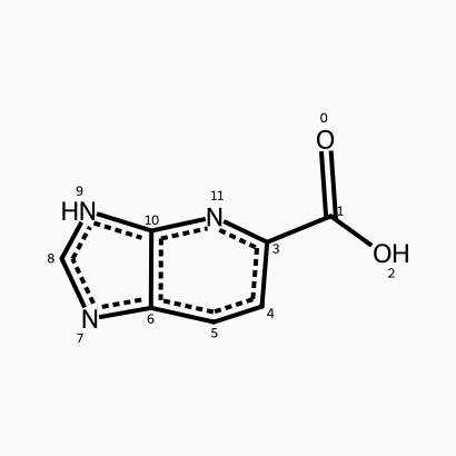 O=C(O)c1ccc2nc[nH]c2n1